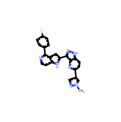 Cn1cc(-c2ccc3[nH]nc(-c4cc5c(-c6ccc(F)cc6)nccc5[nH]4)c3n2)cn1